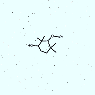 CCCON1C(C)(C)CCC(O)C1(C)C